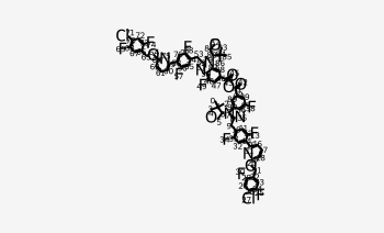 CC1(C)COCC1n1c(Cc2cc(F)c(-c3cccc(OCc4cc(F)c(Cl)cc4F)n3)cc2F)nc2c(F)cc(C(=O)OC(=O)c3cc(F)c4nc(Cc5cc(F)c(-c6cccc(OCc7cc(F)c(Cl)cc7F)n6)cc5F)n(C5COCC5(C)C)c4c3)cc21